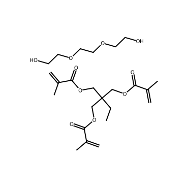 C=C(C)C(=O)OCC(CC)(COC(=O)C(=C)C)COC(=O)C(=C)C.OCCOCCOCCO